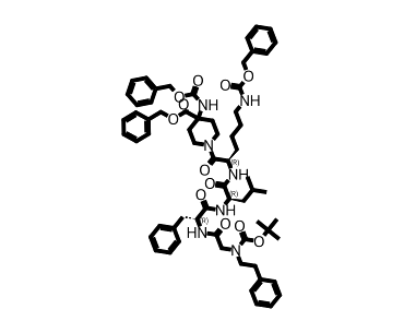 CC(C)C[C@@H](NC(=O)[C@@H](Cc1ccccc1)NC(=O)CN(CCc1ccccc1)C(=O)OC(C)(C)C)C(=O)N[C@H](CCCCNC(=O)OCc1ccccc1)C(=O)N1CCC(NC(=O)OCc2ccccc2)(C(=O)OCc2ccccc2)CC1